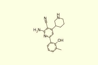 Cc1cccc(-c2cc(C3CCCNC3)c(C#N)c(N)n2)c1O